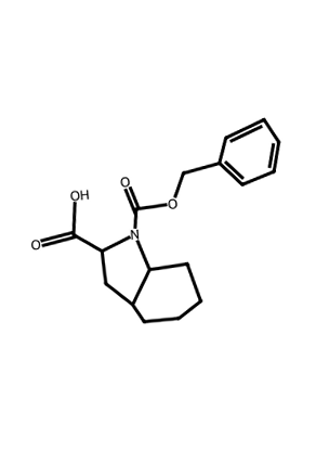 O=C(O)C1CC2CCCCC2N1C(=O)OCc1ccccc1